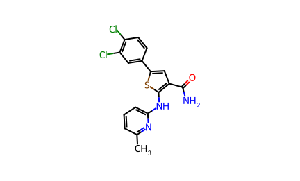 Cc1cccc(Nc2sc(-c3ccc(Cl)c(Cl)c3)cc2C(N)=O)n1